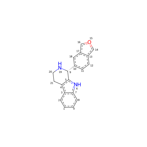 c1ccc2c3c([nH]c2c1)[C@@H](c1ccc2cocc2c1)NCC3